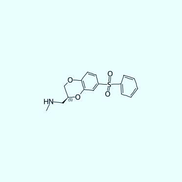 CNC[C@H]1COc2ccc(S(=O)(=O)c3ccccc3)cc2O1